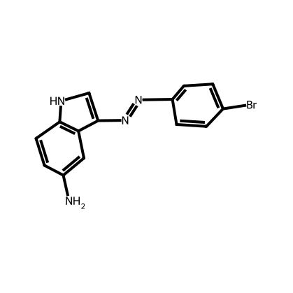 Nc1ccc2[nH]cc(N=Nc3ccc(Br)cc3)c2c1